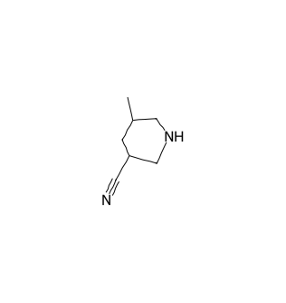 CC1CNCC(C#N)C1